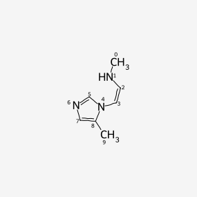 CN/C=C\n1cncc1C